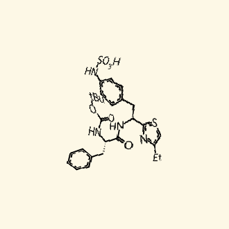 CCc1csc([C@H](Cc2ccc(NS(=O)(=O)O)cc2)NC(=O)[C@H](Cc2ccccc2)NC(=O)OC(C)(C)C)n1